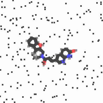 CCc1c(CN(C)C(=O)C=Cc2cnc3c(c2)CCC(=O)N3)oc2ccccc12